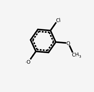 COc1cc([O])ccc1Cl